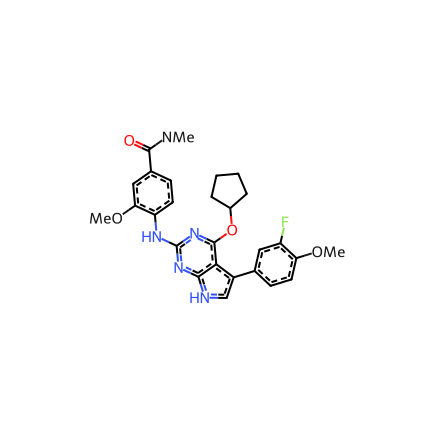 CNC(=O)c1ccc(Nc2nc(OC3CCCC3)c3c(-c4ccc(OC)c(F)c4)c[nH]c3n2)c(OC)c1